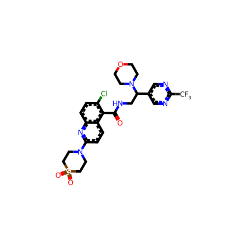 O=C(NCC(c1cnc(C(F)(F)F)nc1)N1CCOCC1)c1c(Cl)ccc2nc(N3CCS(=O)(=O)CC3)ccc12